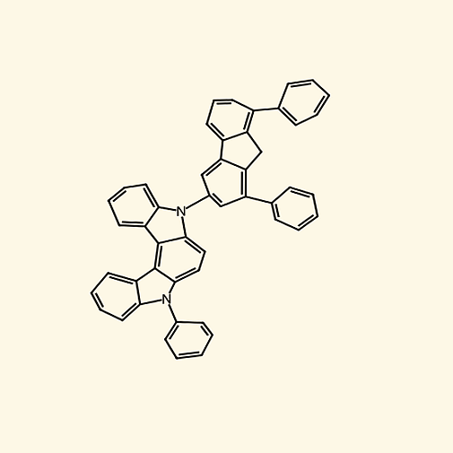 c1ccc(-c2cccc3c2Cc2c(-c4ccccc4)cc(-n4c5ccccc5c5c6c7ccccc7n(-c7ccccc7)c6ccc54)cc2-3)cc1